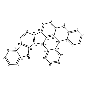 c1ccc2c(c1)Oc1ccc3c4ccc5c6ccccc6oc5c4n4c3c1B2c1ccccc1-4